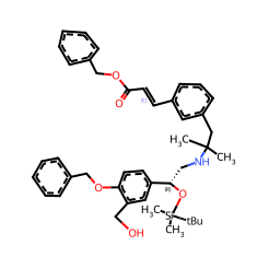 CC(C)(Cc1cccc(/C=C/C(=O)OCc2ccccc2)c1)NC[C@H](O[Si](C)(C)C(C)(C)C)c1ccc(OCc2ccccc2)c(CO)c1